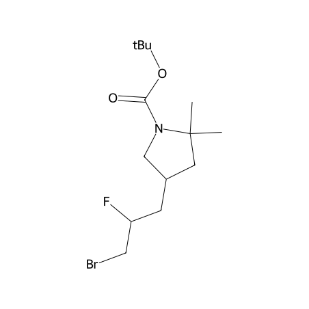 CC(C)(C)OC(=O)N1CC(CC(F)CBr)CC1(C)C